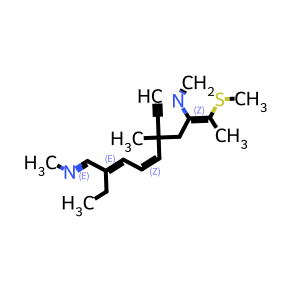 C#CC(C)(\C=C/C=C(/C=N/C)CC)C/C(N=C)=C(\C)SC